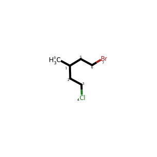 CC(CCCl)CCBr